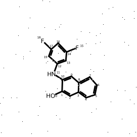 Oc1cc2ccccc2cc1Nc1cc(F)cc(F)c1